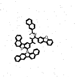 CC(/C(=N\[C@@H](C)c1ccc2ccccc2c1)c1ccc2c(c1)oc1ccccc12)=C(/C)c1cc(-n2c3cc4ccccc4cc3c3ccc4ccccc4c32)c2sc3ccc4ccccc4c3c2c1